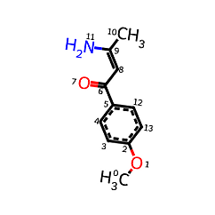 COc1ccc(C(=O)C=C(C)N)cc1